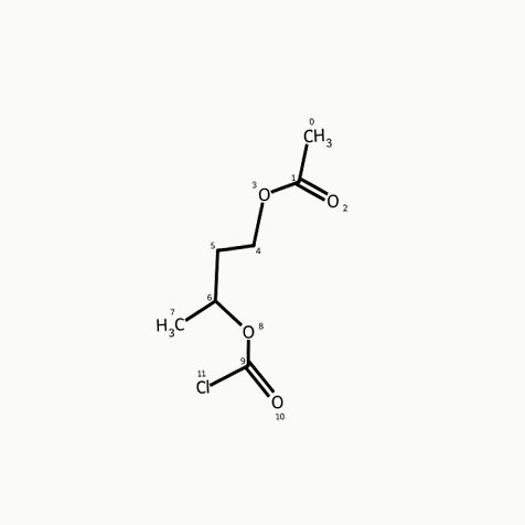 CC(=O)OCCC(C)OC(=O)Cl